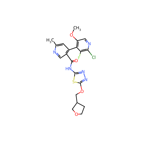 COc1cnc(Cl)c(F)c1-c1cc(C)ncc1C(=O)Nc1nnc(OCC2CCOC2)s1